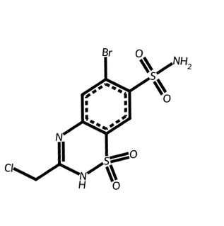 NS(=O)(=O)c1cc2c(cc1Br)N=C(CCl)NS2(=O)=O